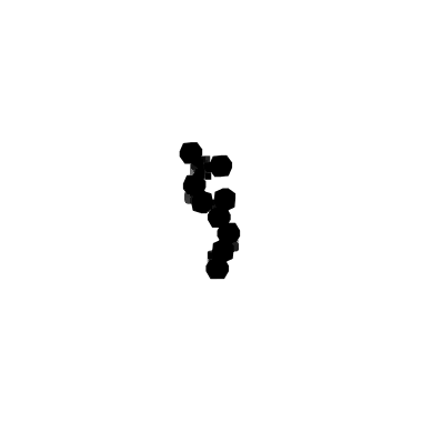 c1ccc(-c2nc(-c3ccccc3)nc(-c3ccc4oc5ccc(-n6c7ccccc7c7cc(-c8ccc9sc%10cc%11c(cc%10c9c8)sc8ccccc8%11)ccc76)cc5c4c3)n2)cc1